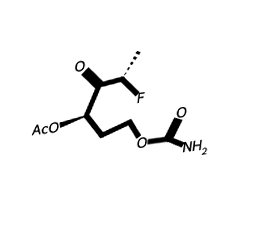 CC(=O)O[C@H](CCOC(N)=O)C(=O)[C@H](C)F